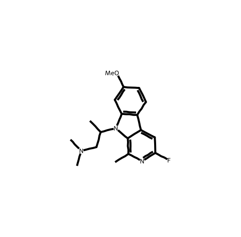 COc1ccc2c3cc(F)nc(C)c3n(C(C)CN(C)C)c2c1